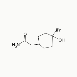 CC(C)C1(O)CCC(CC(N)=O)CC1